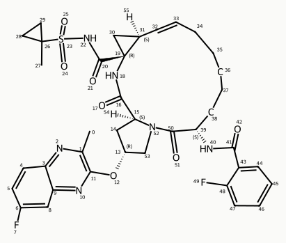 Cc1nc2ccc(F)cc2nc1O[C@@H]1C[C@H]2C(=O)N[C@]3(C(=O)NS(=O)(=O)C4(C)CC4)C[C@H]3C=CCCCCC[C@H](NC(=O)c3ccccc3F)C(=O)N2C1